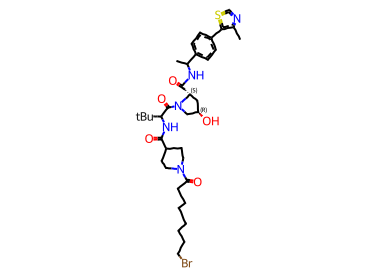 Cc1ncsc1-c1ccc(C(C)NC(=O)[C@@H]2C[C@@H](O)CN2C(=O)C(NC(=O)C2CCN(C(=O)CCCCCCCBr)CC2)C(C)(C)C)cc1